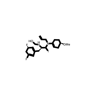 C=CCN(C1=CC[C@H](OC)CC1)C(I)[C@@H](CC1=C[C@@H](F)CC(F)=C1)NCO